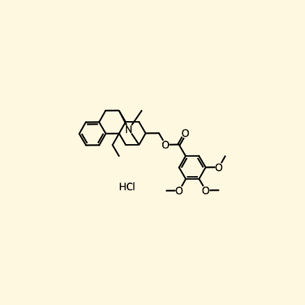 CCC12CC3C(COC(=O)c4cc(OC)c(OC)c(OC)c4)CC1C(Cc1ccccc12)N3C.Cl